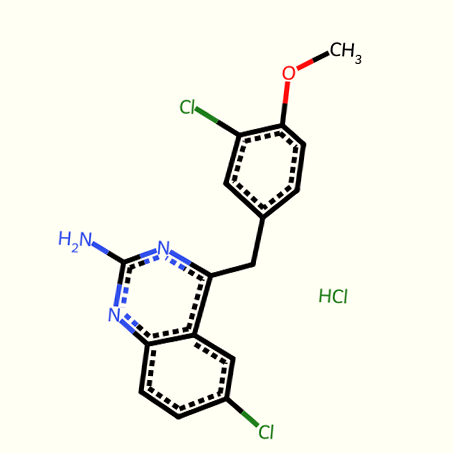 COc1ccc(Cc2nc(N)nc3ccc(Cl)cc23)cc1Cl.Cl